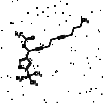 CCCCC#CCCC#CC(OC(C)=O)c1coc([Si](C)(C)C)c1